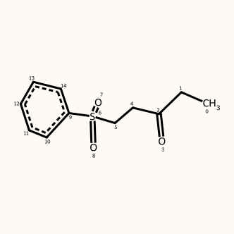 CCC(=O)CCS(=O)(=O)c1ccccc1